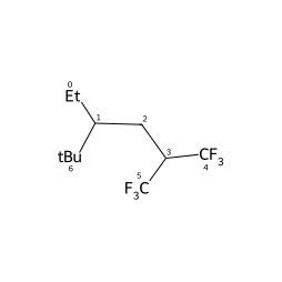 CCC(CC(C(F)(F)F)C(F)(F)F)C(C)(C)C